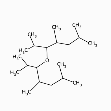 CC(C)CC(C)C(OC(C(C)C)C(C)CC(C)C)C(C)C